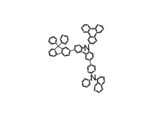 c1ccc(N(c2ccc(-c3ccc4c(c3)c3cc(-c5ccc6c(c5)C(c5ccccc5)(c5ccccc5)c5ccccc5-6)ccc3n4-c3ccc4c5ccccc5c5ccccc5c4c3)cc2)c2cccc3ccccc23)cc1